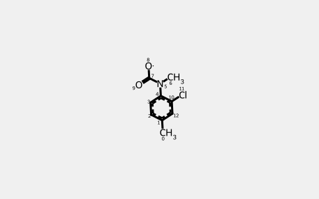 Cc1ccc(N(C)C([O])=O)c(Cl)c1